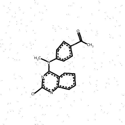 CC(=O)c1ccc(N(C)c2nc(Cl)nc3ccccc23)cc1